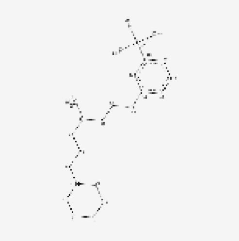 CC(CCCN1CCCCC1)CCOc1cccc(C(F)(F)F)c1